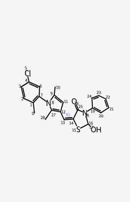 Cc1ccc(Cl)cc1-n1c(C)cc(/C=C2/SC(O)N(c3ccccc3)C2=O)c1C